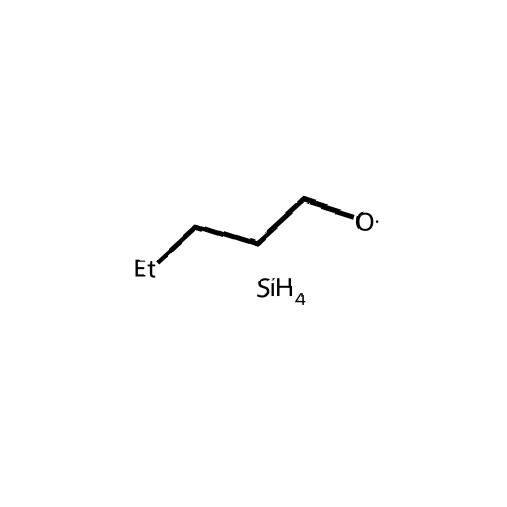 CCCCC[O].[SiH4]